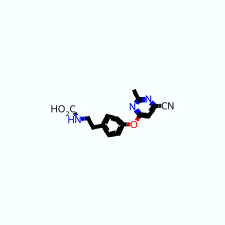 Cc1nc(C#N)cc(Oc2ccc(CCNC(=O)O)cc2)n1